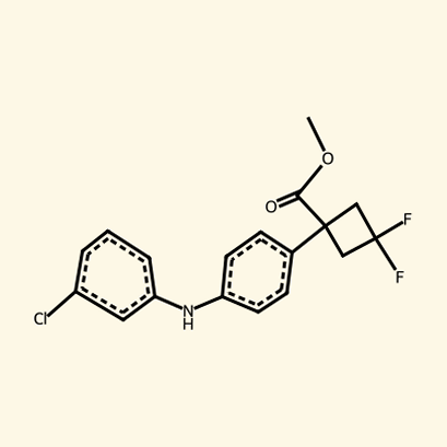 COC(=O)C1(c2ccc(Nc3cccc(Cl)c3)cc2)CC(F)(F)C1